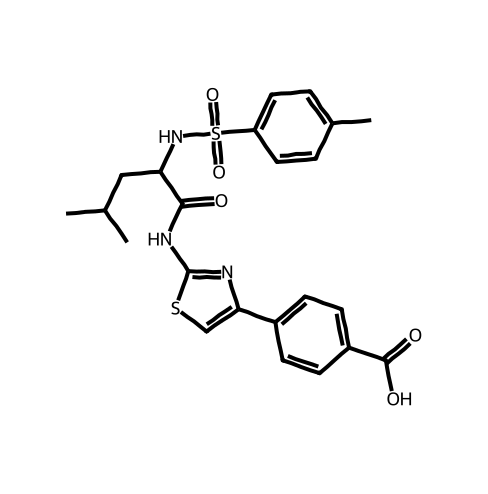 Cc1ccc(S(=O)(=O)NC(CC(C)C)C(=O)Nc2nc(-c3ccc(C(=O)O)cc3)cs2)cc1